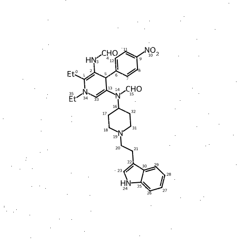 CCC1=C(NC=O)C(c2ccc([N+](=O)[O-])cc2)C(N(C=O)C2CCN(CCc3c[nH]c4ccccc34)CC2)=CN1CC